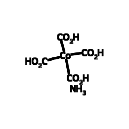 N.O=[C](O)[Co]([C](=O)O)([C](=O)O)[C](=O)O